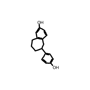 Oc1ccc(C2CCCc3cc(O)ccc3C2)cc1